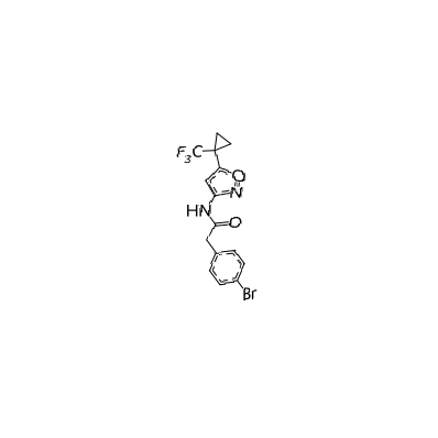 O=C(Cc1ccc(Br)cc1)Nc1cc(C2(C(F)(F)F)CC2)on1